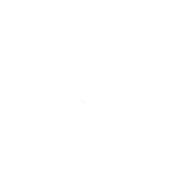 O=C1C(=O)N(O)c2ccccc21